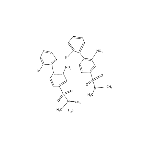 CN(C)S(=O)(=O)c1ccc(-c2ccccc2Br)c([N+](=O)[O-])c1.CN(C)S(=O)(=O)c1ccc(-c2ccccc2Br)c([N+](=O)[O-])c1.S